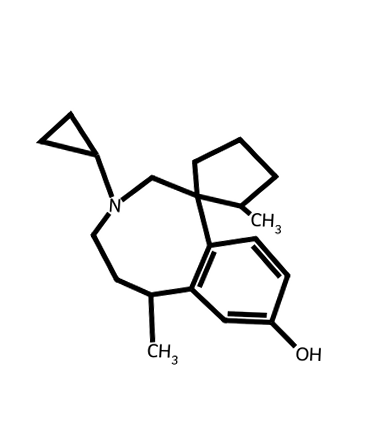 CC1CCN(C2CC2)CC2(CCCC2C)c2ccc(O)cc21